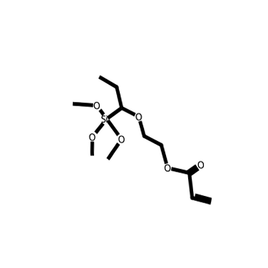 C=CC(=O)OCCOC(CC)[Si](OC)(OC)OC